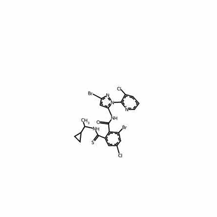 CC(NC(=S)c1cc(Cl)cc(Br)c1C(=O)Nc1cc(Br)nn1-c1ncccc1Cl)C1CC1